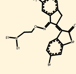 CCN(CC)CCO/N=C1/C(=C2/C(=O)Nc3cc(Br)ccc32)Cc2ccc(C)cc21